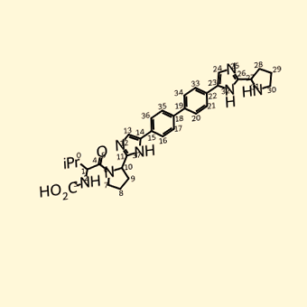 CC(C)C(NC(=O)O)C(=O)N1CCCC1c1ncc(-c2ccc(-c3ccc(-c4cnc(C5CCCN5)[nH]4)cc3)cc2)[nH]1